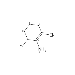 CC1CCCC(Cl)=C1N